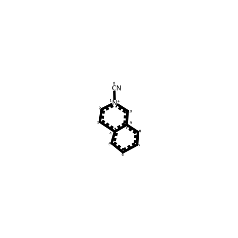 N#C[n+]1ccc2ccccc2c1